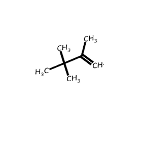 [CH]=C(C)C(C)(C)C